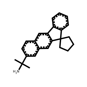 CC(C)(N)c1ccc2cc3c(cc2c1)C1(CCCC1)c1ccccc1-3